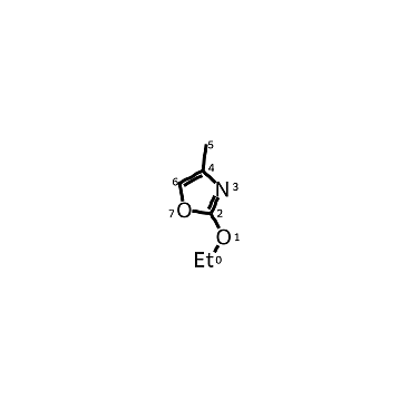 CCOc1nc(C)co1